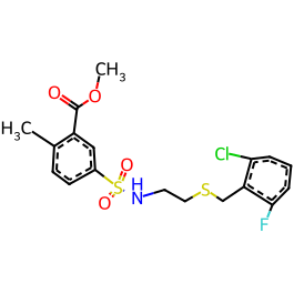 COC(=O)c1cc(S(=O)(=O)NCCSCc2c(F)cccc2Cl)ccc1C